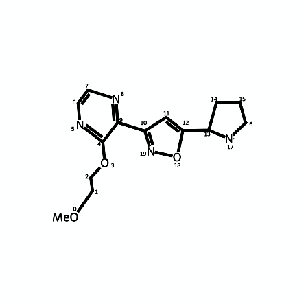 COCCOc1nccnc1-c1cc(C2CCC[N]2)on1